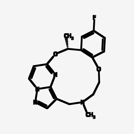 C[C@H]1Oc2ccn3ncc(c3n2)CN(C)CCOc2ccc(F)cc21